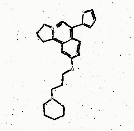 c1csc(-c2c[n+]3c(c4cc(OCCCN5CCCCC5)ccc24)CCC3)c1